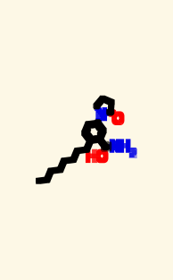 CCCCCCCCc1ccc(N2CCCC2=O)cc1[C@@H](N)O